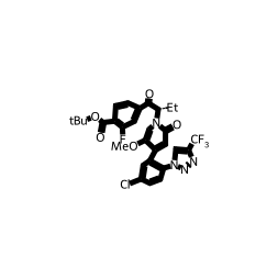 CC[C@@H](C(=O)c1ccc(C(=O)OC(C)(C)C)c(F)c1)n1cc(OC)c(-c2cc(Cl)ccc2-n2cc(C(F)(F)F)nn2)cc1=O